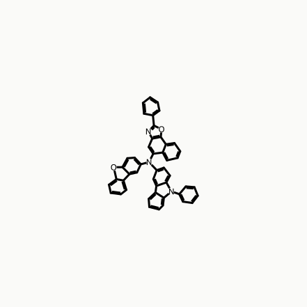 c1ccc(-c2nc3cc(N(c4ccc5oc6ccccc6c5c4)c4ccc5c(c4)c4ccccc4n5-c4ccccc4)c4ccccc4c3o2)cc1